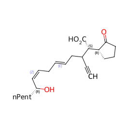 C#CC(C/C=C/C/C=C\[C@H](O)CCCCC)[C@H](C(=O)O)[C@H]1CCCC1=O